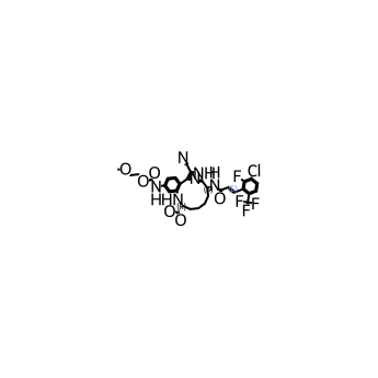 COCCOC(=O)Nc1ccc2c(c1)N[C@@H](C(=O)OC)CCCC[C@H](NC(=O)/C=C/c1c(C(F)(F)F)ccc(Cl)c1F)c1nc-2c(C#N)[nH]1